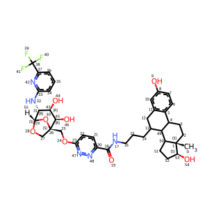 C[C@]12CCC3c4ccc(O)cc4CC(CCCNC(=O)c4ccc(OC[C@@]56CO[C@@H](O5)[C@H](Nc5cccc(C(F)(F)F)n5)[C@@H](O)[C@H]6O)nn4)C3C1CC[C@@H]2O